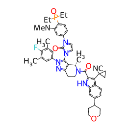 CCP(=O)(CC)c1ccc(-n2ccn(-c3c4c(nn3-c3cc(C)c(F)c(C)c3)CCN(C(=O)c3[nH]c5cc(C6CCOCC6)ccc5c3C3(C#N)CC3)[C@H]4C)c2=O)cc1NC